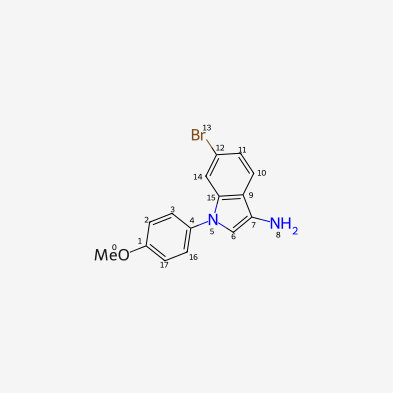 COc1ccc(-n2cc(N)c3ccc(Br)cc32)cc1